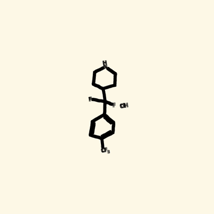 Cl.FC(F)(F)c1ccc(C(F)(F)C2CCNCC2)cc1